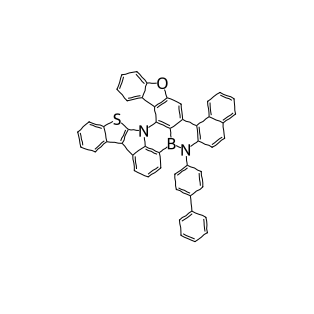 c1ccc(-c2ccc(N3B4c5c(cc6oc7ccccc7c6c5-n5c6sc7ccccc7c6c6cccc4c65)-c4c3ccc3ccccc43)cc2)cc1